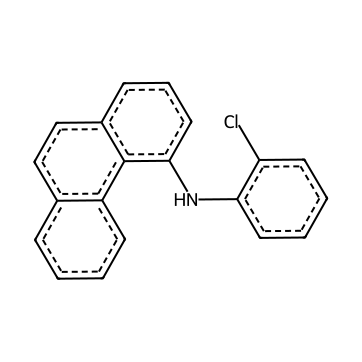 Clc1ccccc1Nc1cccc2ccc3ccccc3c12